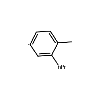 CCCc1c[c]ccc1C